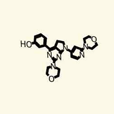 Oc1cccc(-c2nc(N3CCOCC3)nc3c2CCN3c2ccnc(N3CCOCC3)c2)c1